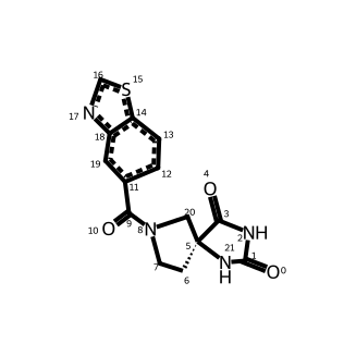 O=C1NC(=O)[C@@]2(CCN(C(=O)c3ccc4scnc4c3)C2)N1